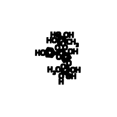 C[C@H]1OC(Oc2cc(O)c3c(=O)c(OC4O[C@H](C)[C@@H](O)[C@H](O)[C@@H]4O)c(-c4ccc(O)cc4)oc3c2)[C@@H](O)[C@@H](O)[C@@H]1O